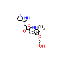 Cc1cc(OCCCO)ccc1NC1=C(C(=O)O)C(=O)/C(=C/c2c[nH]c3ncccc23)O1